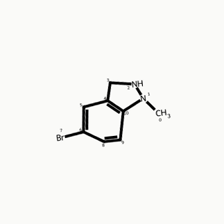 CN1NCc2cc(Br)ccc21